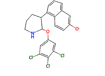 [O]c1ccc2c(C3CCCNC3Oc3cc(Cl)c(Cl)c(Cl)c3)cccc2c1